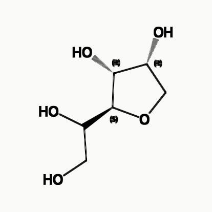 OCC(O)[C@@H]1OC[C@@H](O)[C@H]1O